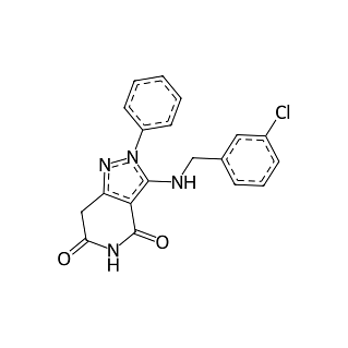 O=C1Cc2nn(-c3ccccc3)c(NCc3cccc(Cl)c3)c2C(=O)N1